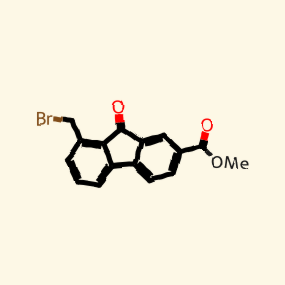 COC(=O)c1ccc2c(c1)C(=O)c1c(CBr)cccc1-2